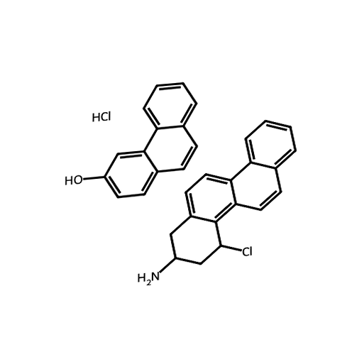 Cl.NC1Cc2ccc3c(ccc4ccccc43)c2C(Cl)C1.Oc1ccc2ccc3ccccc3c2c1